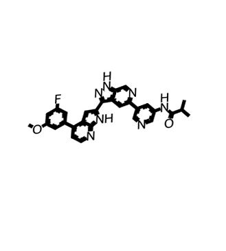 COc1cc(F)cc(-c2ccnc3[nH]c(-c4n[nH]c5cnc(-c6cncc(NC(=O)C(C)C)c6)cc45)cc23)c1